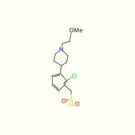 COCCN1CCC(c2cccc(C[SH](=O)=O)c2Cl)CC1